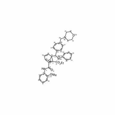 CCOC(=O)C1=C(C(=O)Nc2ccccc2OC)C2C=CC1(C(Nc1ccccc1)c1ccc(CN3CCOCC3)cc1)O2